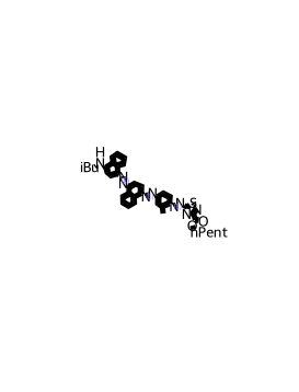 CCCCCOC(=O)c1nsc(/N=N/c2ccc(/N=N/c3ccc(/N=N/c4ccc(NC(C)CC)c5ccccc45)c4ccccc34)cc2C)n1